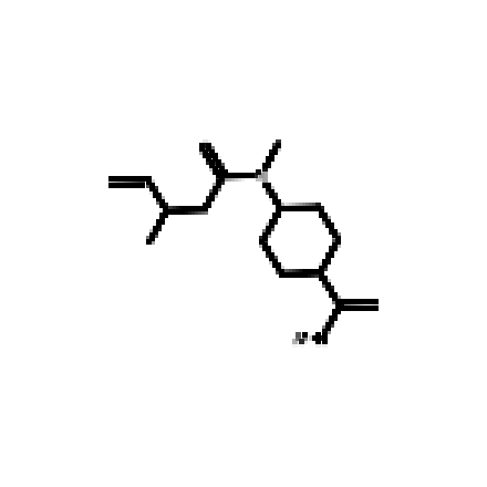 C=CC(C)CC(=C)N(C)C1CCC(C(=C)NC)CC1